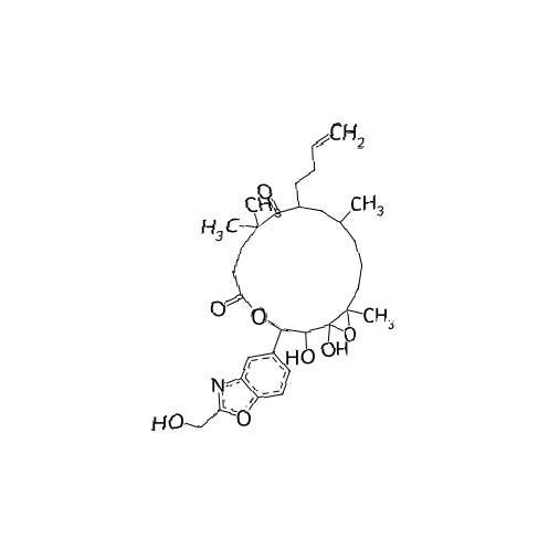 C=CCCC1CC(C)CCCC2(C)OC2(O)C(O)C(c2ccc3oc(CO)nc3c2)OC(=O)CCC(C)(C)C1=O